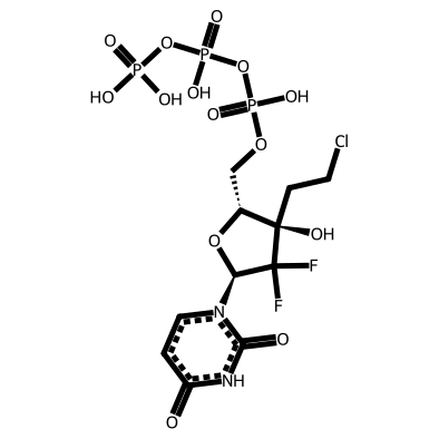 O=c1ccn([C@H]2O[C@H](COP(=O)(O)OP(=O)(O)OP(=O)(O)O)[C@](O)(CCCl)C2(F)F)c(=O)[nH]1